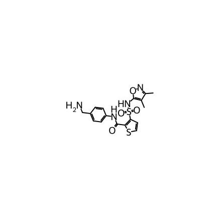 Cc1noc(NS(=O)(=O)c2ccsc2C(=O)Nc2ccc(CN)cc2)c1C